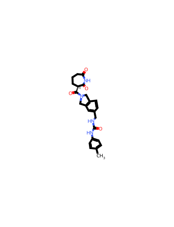 Cc1ccc(NC(=O)NCc2ccc3c(c2)CN(C(=O)[C@H]2CCCC(=O)NC2=O)C3)cc1